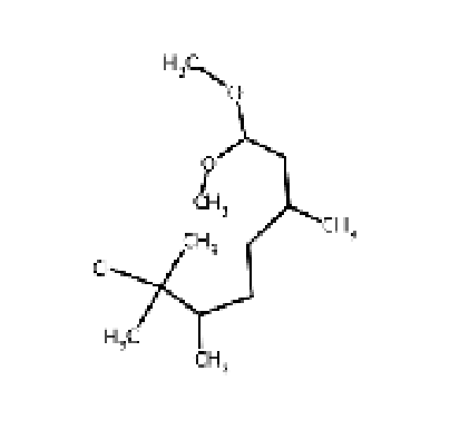 COC(CC(C)CCC(C)C(C)(C)Cl)OC